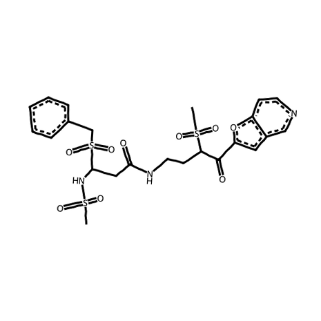 CS(=O)(=O)NC(CC(=O)NCCC(C(=O)c1cc2cnccc2o1)S(C)(=O)=O)S(=O)(=O)Cc1ccccc1